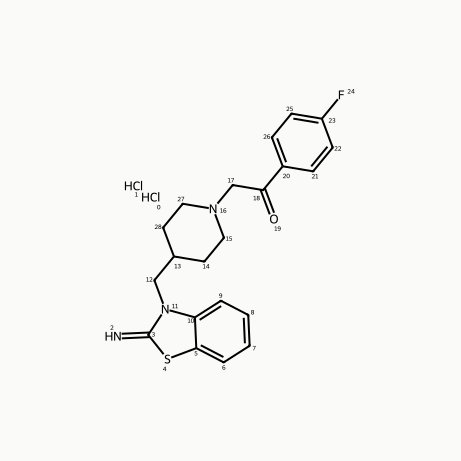 Cl.Cl.N=c1sc2ccccc2n1CC1CCN(CC(=O)c2ccc(F)cc2)CC1